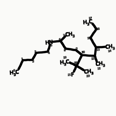 CCCCCNC(C)CCC(C(C)C(C)CCC)C(C)(C)F